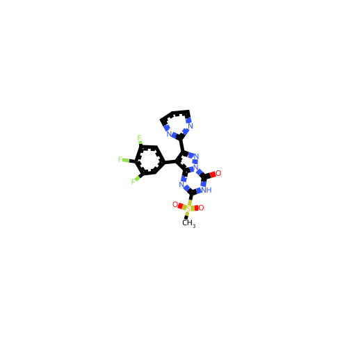 CS(=O)(=O)c1nc2c(-c3cc(F)c(F)c(F)c3)c(-c3ncccn3)nn2c(=O)[nH]1